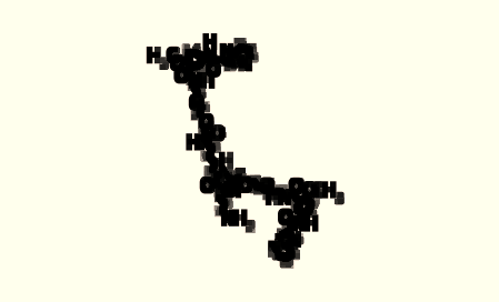 COc1ccc(NC(=O)c2cn3ncccc3n2)cc1C(=O)NCCOCCOCC(=O)NCCCC[C@H](NC(=O)COCCOCCNC(=O)c1cc(NC(=O)c2cn3ncccc3n2)ccc1OC)C(=O)NCCCN